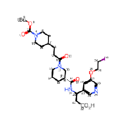 CC(C)(C)OC(=O)N1CCC(CCC(=O)N2CCC[C@@H](C(=O)NC(CC(=O)O)c3cncc(OCCI)c3)C2)CC1